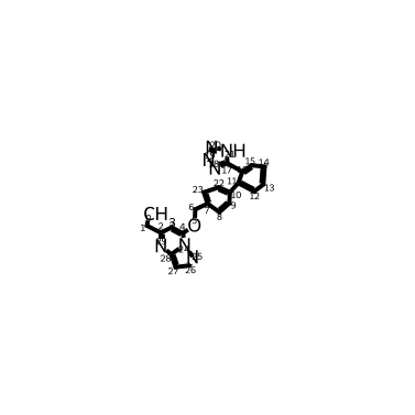 CCc1cc(OCc2ccc(-c3ccccc3-c3nnn[nH]3)cc2)n2nccc2n1